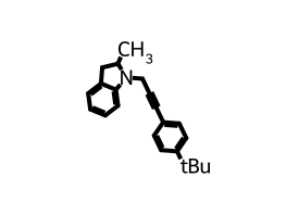 CC1Cc2ccccc2N1CC#Cc1ccc(C(C)(C)C)cc1